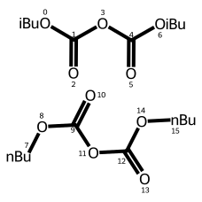 CC(C)COC(=O)OC(=O)OCC(C)C.CCCCOC(=O)OC(=O)OCCCC